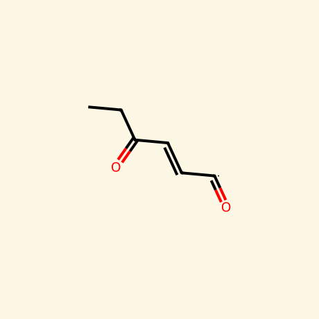 CCC(=O)C=C[C]=O